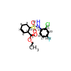 CCOC(=O)C1C=CCCC1S(=O)(=O)Nc1ccc(F)cc1Cl